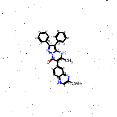 COc1cnc2ccc(-c3c(C)[nH]c4c(-c5ccccc5)c(-c5ccccc5)nn4c3=O)cc2n1